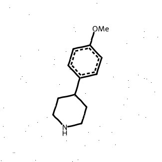 COc1ccc([C]2CCNCC2)cc1